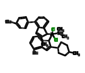 CCC(C)c1cccc2c1C=C(C1CCC(C)CC1)[CH]2[Zr]([Cl])([Cl])([CH]1C(C)=Cc2c(-c3ccc(C(C)(C)C)cc3)cccc21)[SiH](C)C